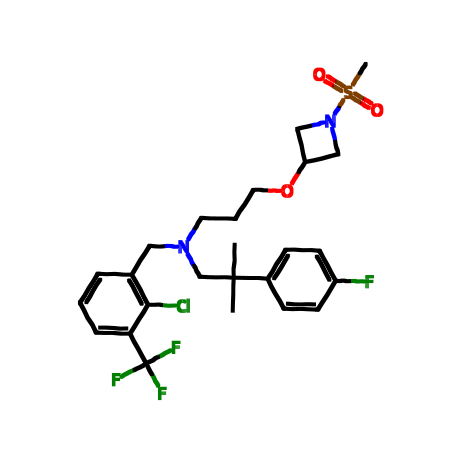 CC(C)(CN(CCCOC1CN(S(C)(=O)=O)C1)Cc1cccc(C(F)(F)F)c1Cl)c1ccc(F)cc1